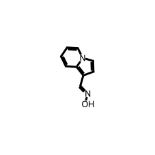 O/N=C/c1ccn2ccccc12